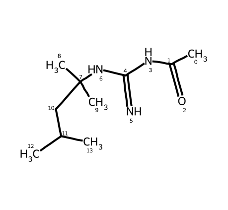 CC(=O)NC(=N)NC(C)(C)CC(C)C